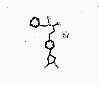 CC#N.CCC(CCc1ccc(C2CC(F)C(F)C2)cc1)N(CC)Cc1ccccc1